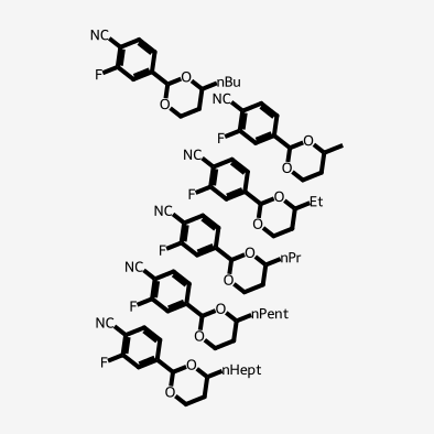 CC1CCOC(c2ccc(C#N)c(F)c2)O1.CCC1CCOC(c2ccc(C#N)c(F)c2)O1.CCCC1CCOC(c2ccc(C#N)c(F)c2)O1.CCCCC1CCOC(c2ccc(C#N)c(F)c2)O1.CCCCCC1CCOC(c2ccc(C#N)c(F)c2)O1.CCCCCCCC1CCOC(c2ccc(C#N)c(F)c2)O1